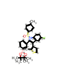 Cc1ccc([S+]([O-])n2c(-c3cccc(B4OC(C)(C)C(C)(C)O4)c3)c(-c3ccsc3C#N)c3cc(F)ccc32)cc1